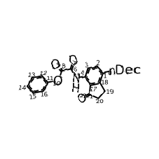 CCCCCCCCCCc1ccc(NC(=O)C(=O)Oc2ccccc2)c2c1CCC2=O